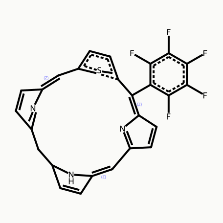 Fc1c(F)c(F)c(/C2=C3\C=CC(=N3)/C=C3/C=CC(CC4=N/C(=C\c5ccc2s5)C=C4)N3)c(F)c1F